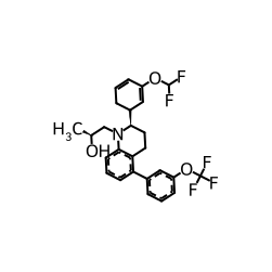 C[C@H](O)CN1c2cccc(-c3cccc(OC(F)(F)F)c3)c2CC[C@@H]1C1C=C(OC(F)F)C=CC1